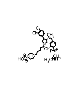 CN(Cc1ccc(C(F)(F)F)c(F)c1)C1CN(C(=O)CCCCN2CCN(S(=O)(=O)O)CC2)CC1c1ccc(Cl)c(Cl)c1.CNC